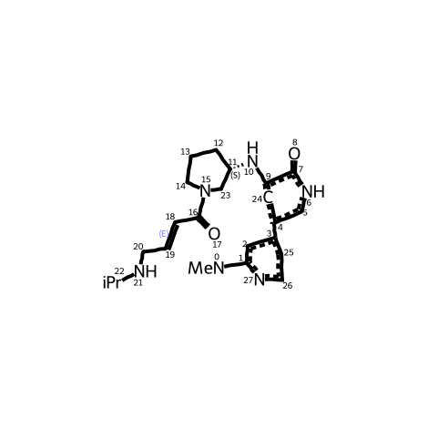 CNc1cc(-c2c[nH]c(=O)c(N[C@H]3CCCN(C(=O)/C=C/CNC(C)C)C3)c2)ccn1